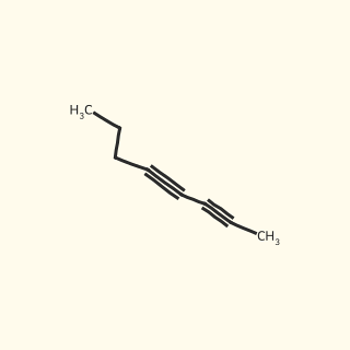 CC#CC#CCCC